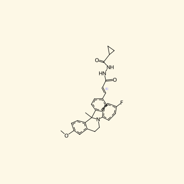 COc1ccc2c(c1)CCN(c1ccc(F)cc1)C2(C)c1ccc(/C=C/C(=O)NNC(=O)C2CC2)cc1